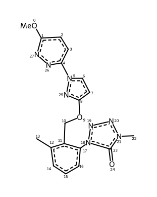 COc1ccc(-n2ccc(OCc3c(C)cccc3-n3nnn(C)c3=O)n2)nn1